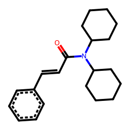 O=C(/C=C/c1ccccc1)N(C1CCCCC1)C1CCCCC1